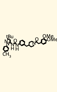 COc1ccc(CC(=O)N2CCC(Cc3cccc(NC(=O)Nc4cc(C(C)(C)C)nn4-c4ccc(C)cc4)c3)CC2)cc1OC